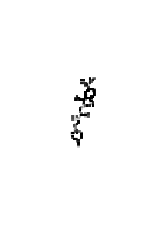 CN1CCN(CCNC(=O)Cn2cnc3ccc([N+](=O)[O-])cc3c2=O)CC1